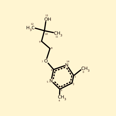 Cc1[c]c(C)nc(OCCC(C)(C)O)n1